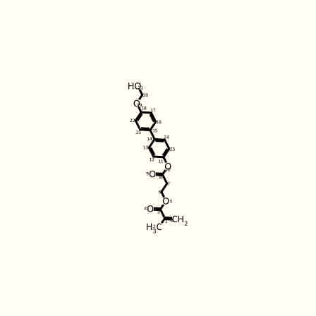 C=C(C)C(=O)OCCC(=O)Oc1ccc(-c2ccc(OCO)cc2)cc1